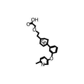 Cc1ccc(Oc2cccc(C34CCC(CCOCC(=O)O)(CC3)CO4)c2)cn1